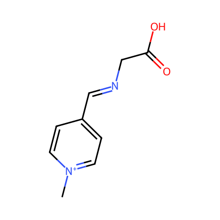 C[n+]1ccc(C=NCC(=O)O)cc1